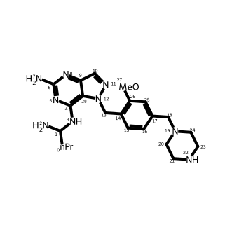 CCCC(N)Nc1nc(N)nc2cnn(Cc3ccc(CN4CCNCC4)cc3OC)c12